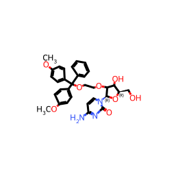 COc1ccc(C(OCCOC2C(O)[C@@H](CO)O[C@H]2n2ccc(N)nc2=O)(c2ccccc2)c2ccc(OC)cc2)cc1